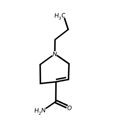 CCCN1CC=C(C(N)=O)CC1